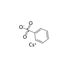 O=S(=O)([O-])c1ccccc1.[Cs+]